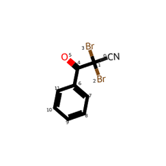 N#CC(Br)(Br)C(=O)c1ccccc1